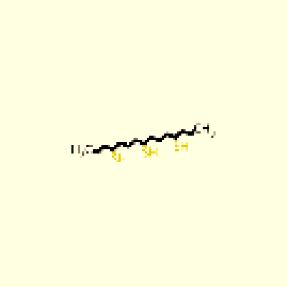 CCCC(S)CCCC(S)CCCC(S)CCC